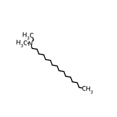 CCCCCCCCCCCCCCCCN(C)CC